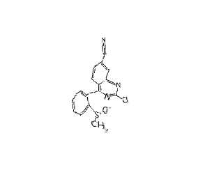 C[S+]([O-])c1ccccc1-c1nc(Cl)nc2cc(C#N)ccc12